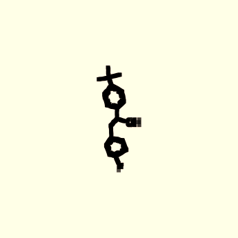 CC(C)(C)c1ccc(C(O)Cc2ccc(F)cc2)cc1